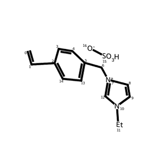 C=Cc1ccc(C[n+]2ccn(CC)c2)cc1.O=S(=O)([O-])O